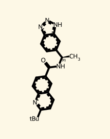 C[C@@H](NC(=O)c1ccc2nc(C(C)(C)C)ccc2c1)c1ccc2nn[nH]c2c1